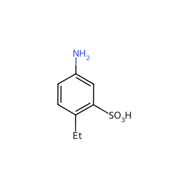 CCc1ccc(N)cc1S(=O)(=O)O